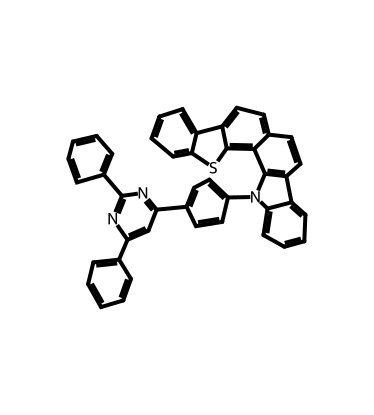 c1ccc(-c2cc(-c3ccc(-n4c5ccccc5c5ccc6ccc7c8ccccc8sc7c6c54)cc3)nc(-c3ccccc3)n2)cc1